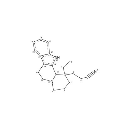 CCC1(CCC#N)CCCN2CCc3c([nH]c4ccccc34)C21